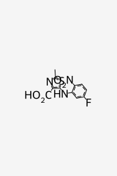 Cc1nc(C(=O)O)c(Nc2cc(F)ccc2[N+](=O)[O-])s1